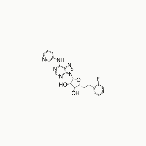 O[C@@H]1[C@H](O)[C@@H](CCc2ccccc2F)O[C@H]1n1cnc2c(Nc3cccnc3)ncnc21